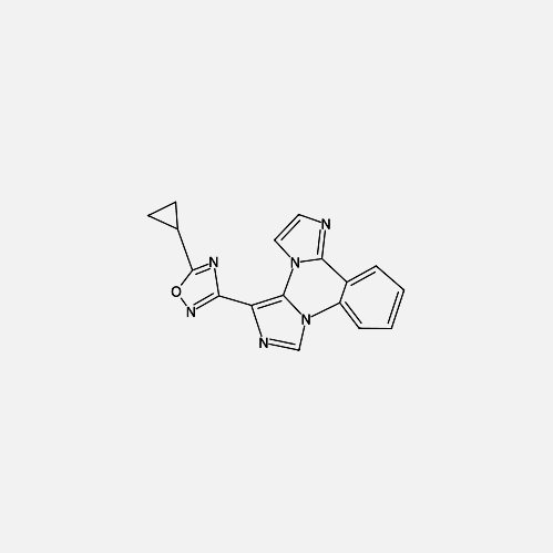 c1ccc2c(c1)c1nccn1c1c(-c3noc(C4CC4)n3)ncn21